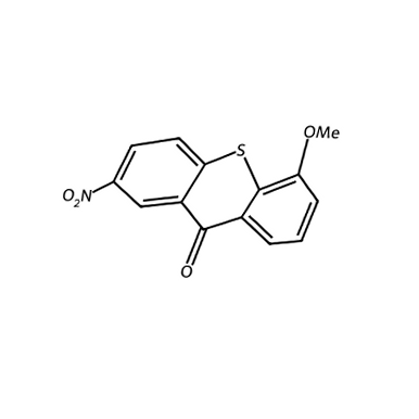 COc1cccc2c(=O)c3cc([N+](=O)[O-])ccc3sc12